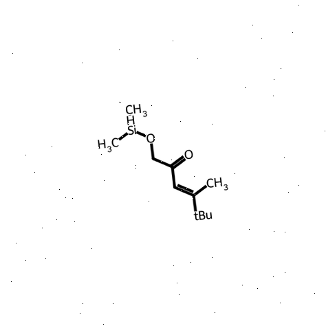 CC(=CC(=O)CO[SiH](C)C)C(C)(C)C